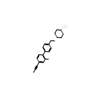 CC#Cc1ccc(-c2ccc(CC[C@H]3CC[C@H](CCC)CC3)cc2)c(F)c1